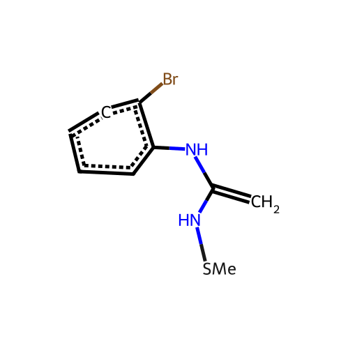 C=C(NSC)Nc1ccccc1Br